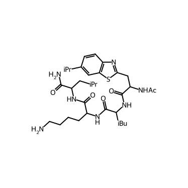 CCC(C)C(NC(=O)C(Cc1nc2ccc(C(C)C)cc2s1)NC(C)=O)C(=O)NC(CCCCN)C(=O)NC(CC(C)C)C(N)=O